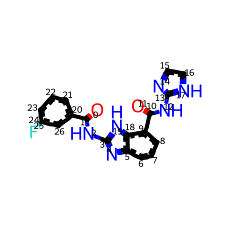 O=C(Nc1nc2cccc(C(=O)Nc3ncc[nH]3)c2[nH]1)c1cccc(F)c1